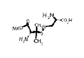 COC(=O)[C@@H](N)C(C)(C)SSC[C@H](N)C(=O)O